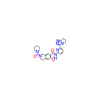 COc1cc2c(cc1C(=O)Nc1cccc(-c3nnc4n3[C@@H](C)CC4)n1)CN(C(=O)N1CCCCC1)CC2